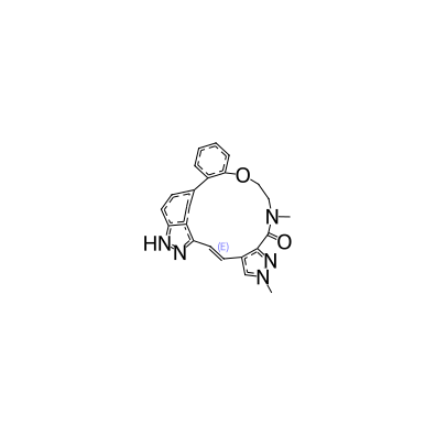 CN1CCOc2ccccc2-c2ccc3[nH]nc(c3c2)/C=C/c2cn(C)nc2C1=O